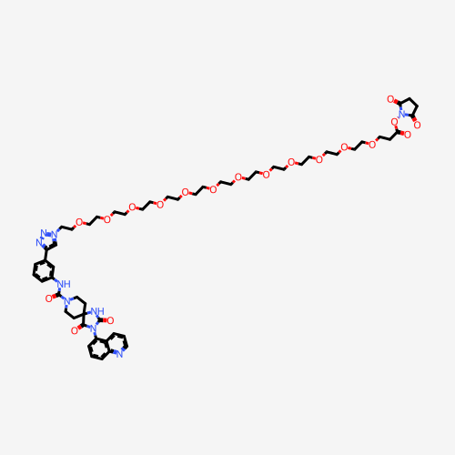 O=C(CCOCCOCCOCCOCCOCCOCCOCCOCCOCCOCCOCCOCCn1cc(-c2cccc(NC(=O)N3CCC4(CC3)NC(=O)N(c3cccc5ncccc35)C4=O)c2)nn1)ON1C(=O)CCC1=O